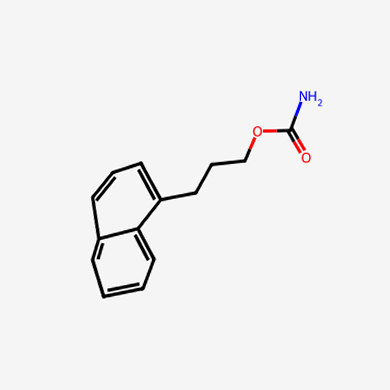 NC(=O)OCCCc1cccc2ccccc12